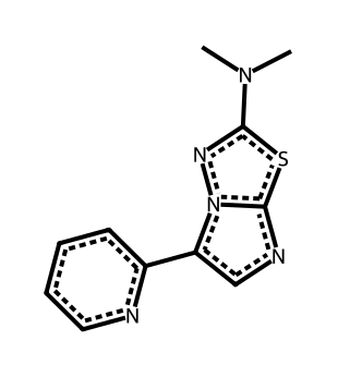 CN(C)c1nn2c(-c3ccccn3)cnc2s1